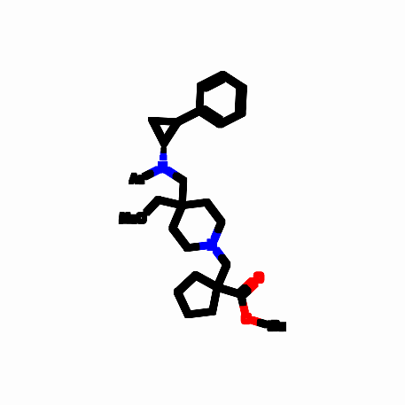 COCC1(CN(C(C)=O)[C@@H]2CC2c2ccccc2)CCN(CC2(C(=O)OC(C)(C)C)CCCC2)CC1